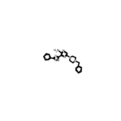 Nc1ncc(N2CCN(Cc3ccccc3)CC2)nc1-c1nnc(-c2ccccc2)o1